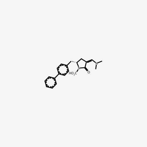 CN(C)/C=C1/C[C@@H](Cc2ccc(-c3ccccc3)cc2)N(C(=O)O)C1=O